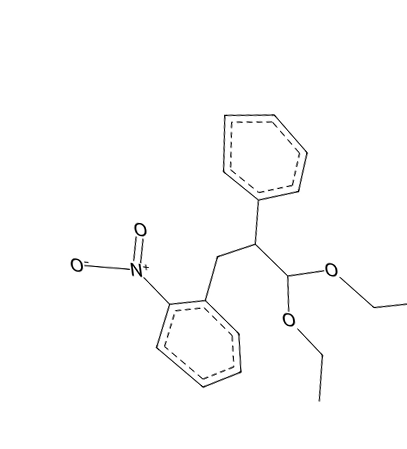 CCOC(OCC)C(Cc1ccccc1[N+](=O)[O-])c1ccccc1